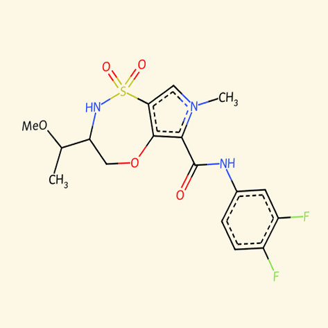 COC(C)C1COc2c(cn(C)c2C(=O)Nc2ccc(F)c(F)c2)S(=O)(=O)N1